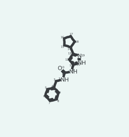 O=C(NCc1ccccc1)Nc1cc(C2CCCC2)n[nH]1